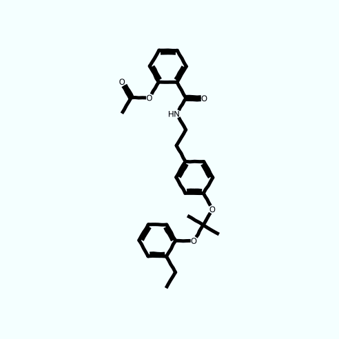 CCc1ccccc1OC(C)(C)Oc1ccc(CCNC(=O)c2ccccc2OC(C)=O)cc1